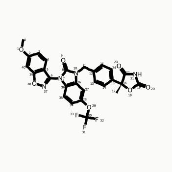 COc1ccc2c(-n3c(=O)n(Cc4ccc([C@@]5(C)OC(=O)NC5=O)cc4)c4cc(OC(F)(F)F)ccc43)noc2c1